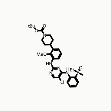 CCP(C)(=O)c1ccccc1Nc1nc(Nc2cccc(C3CCN(C(=O)OC(C)(C)C)CC3)c2OC)ncc1Cl